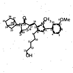 COc1cccc(-c2cc(CCCCCO)c(/C=C3\SC(=S)N(C4CC5CCC4C5)C3=O)n2C)c1